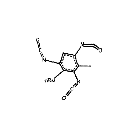 CCCCc1c(N=C=O)cc(N=C=O)c(C)c1N=C=O